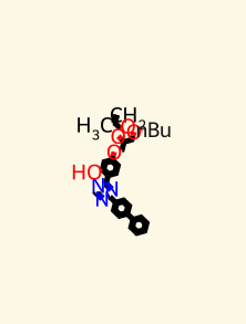 C=C(C)C(=O)OC(COCCCC)COc1ccc(-c2ncnc(-c3ccc(-c4ccccc4)cc3)n2)c(O)c1